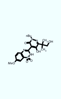 CCCCn1nc(C(C)(C)CO)c(O)c(C2=Nc3ccc(OC)cc3S(=O)(=O)N2)c1=O